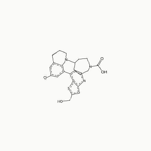 O=C(O)N1CCCC(N2CCCc3cc(Cl)cc(-c4ccnc5cc(CO)sc45)c32)CC1